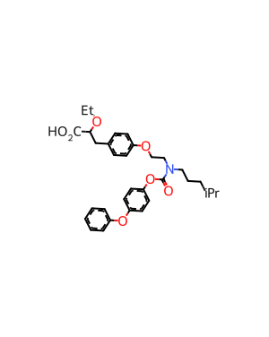 CCOC(Cc1ccc(OCCN(CCCC(C)C)C(=O)Oc2ccc(Oc3ccccc3)cc2)cc1)C(=O)O